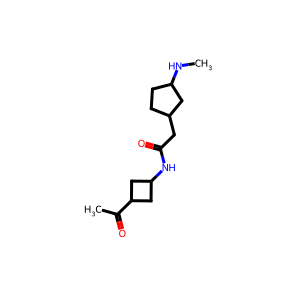 CNC1CCC(CC(=O)NC2CC(C(C)=O)C2)C1